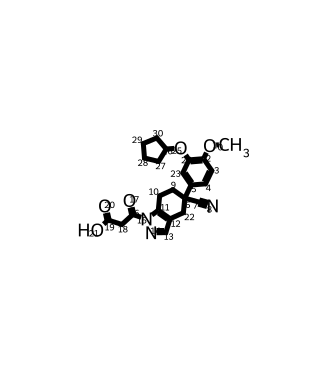 COc1ccc(C2(C#N)CCc3c(cnn3C(=O)CC(=O)O)C2)cc1OC1CCCC1